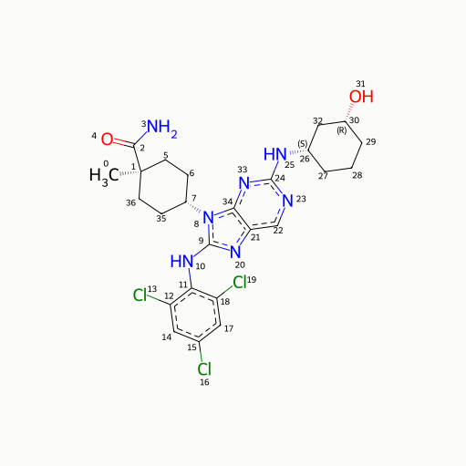 C[C@]1(C(N)=O)CC[C@H](n2c(Nc3c(Cl)cc(Cl)cc3Cl)nc3cnc(N[C@H]4CCC[C@@H](O)C4)nc32)CC1